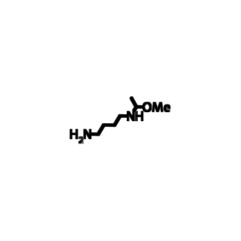 COC(C)NCCCCN